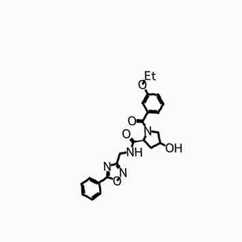 CCOc1cccc(C(=O)N2CC(O)C[C@H]2C(=O)NCc2noc(-c3ccccc3)n2)c1